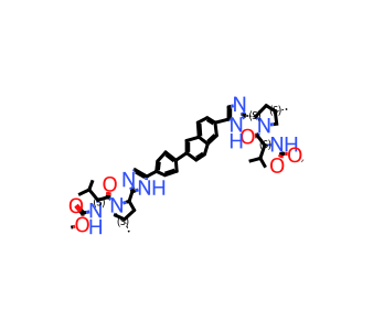 COC(=O)N[C@H](C(=O)N1C[C@@H](C)CC1c1ncc(-c2ccc(-c3ccc4cc(-c5cnc([C@@H]6C[C@H](C)CN6C(=O)[C@@H](NC(=O)OC)C(C)C)[nH]5)ccc4c3)cc2)[nH]1)C(C)C